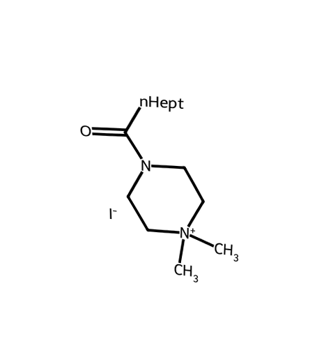 CCCCCCCC(=O)N1CC[N+](C)(C)CC1.[I-]